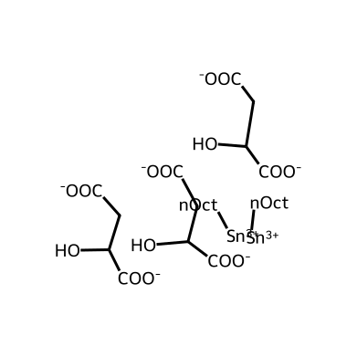 CCCCCCC[CH2][Sn+3].CCCCCCC[CH2][Sn+3].O=C([O-])CC(O)C(=O)[O-].O=C([O-])CC(O)C(=O)[O-].O=C([O-])CC(O)C(=O)[O-]